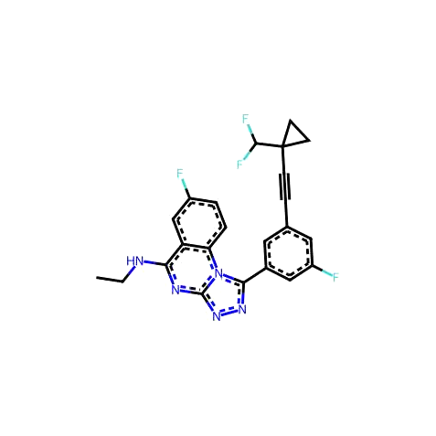 CCNc1nc2nnc(-c3cc(F)cc(C#CC4(C(F)F)CC4)c3)n2c2ccc(F)cc12